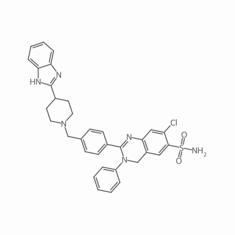 NS(=O)(=O)c1cc2c(cc1Cl)N=C(c1ccc(CN3CCC(c4nc5ccccc5[nH]4)CC3)cc1)N(c1ccccc1)C2